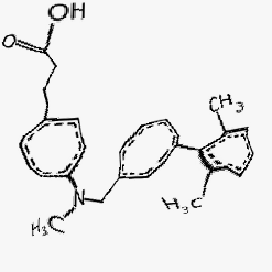 Cc1cccc(C)c1-c1cccc(CN(C)c2ccc(CCC(=O)O)cc2)c1